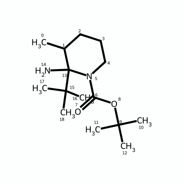 CC1CCCN(C(=O)OC(C)(C)C)C1(N)C(C)(C)C